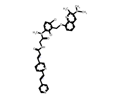 Cc1nc2c(OCc3c(Cl)ccc(N(C)C(=O)CNC(=O)/C=C/c4ccc(/C=C/c5ccncc5)nc4)c3Cl)cccc2cc1N(C)C